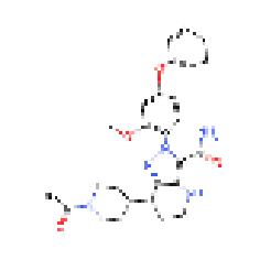 C=CC(=O)N1CCC(C2CCNc3c2nn(-c2ccc(Oc4ccccc4)cc2OC)c3C(N)=O)CC1